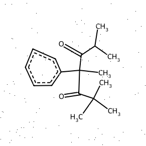 CC(C)C(=O)C(C)(C(=O)C(C)(C)C)c1ccccc1